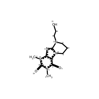 Cn1c(=O)c2c(nc3n2CCCN3CCO)n(C)c1=O